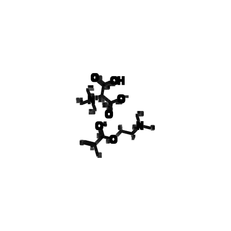 C=C(C)C(=O)OCCN(C)C.C[N+](C)(C)C(C(=O)[O-])C(=O)O